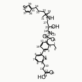 CCc1cc(-c2cccc(CCC(=O)O)n2)ccc1S(=O)(=O)N(C)CC(O)CNC(C)(C)CCCc1ccsc1